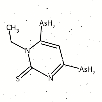 CCn1c([AsH2])cc([AsH2])nc1=S